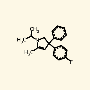 CC1=CC(c2ccccc2)(c2ccc(F)cc2)CN1C(C)C